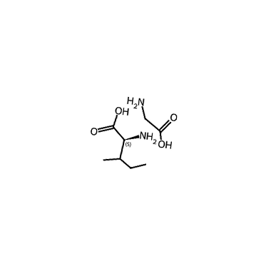 CCC(C)[C@H](N)C(=O)O.NCC(=O)O